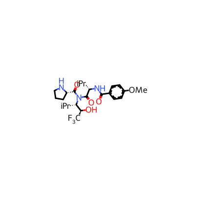 COc1ccc(C(=O)N[C@H](C(=O)N(C(=O)[C@@H]2CCCN2)[C@@H](C(C)C)[C@@H](O)C(F)(F)F)C(C)C)cc1